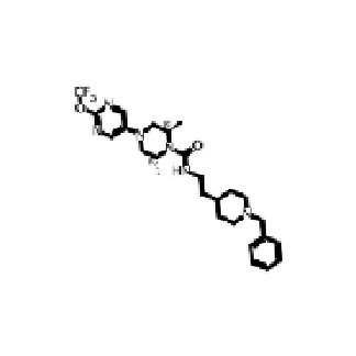 C[C@@H]1CN(c2cnc(OC(F)(F)F)nc2)C[C@@H](C)N1C(=O)NCCC1CCN(Cc2ccccc2)CC1